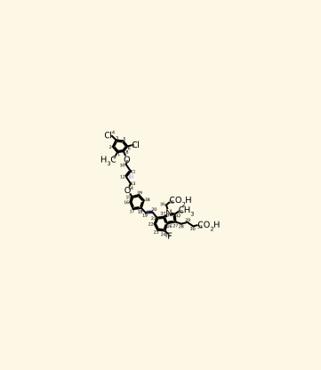 Cc1cc(Cl)cc(Cl)c1OC/C=C/COc1ccc(/C=C/c2ccc(F)c3c(CCCC(=O)O)c(C)n(CC(=O)O)c23)cc1